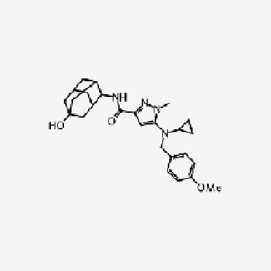 COc1ccc(CN(c2cc(C(=O)NC3C4CC5CC3CC(O)(C5)C4)nn2C)C2CC2)cc1